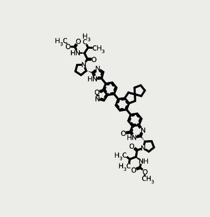 COC(=O)N[C@H](C(=O)N1CCC[C@H]1c1ncc(-c2ccc(-c3ccc(-c4ccc5nc([C@@H]6CCCN6C(=O)[C@@H](NC(=O)OC)C(C)C)[nH]c(=O)c5c4)c4c3CC3(CCCC3)C4)c3cnoc23)[nH]1)C(C)C